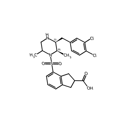 CC1CN[C@@H](Cc2ccc(Cl)c(Cl)c2)[C@@H](C)N1S(=O)(=O)c1cccc2c1CC(C(=O)O)C2